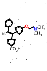 CCC(=C(c1ccc(OCCN(C)C)cc1)c1ccc(C(=O)O)cc1)c1ccccc1